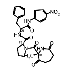 C[C@@]1(C(=O)N2CCC[C@H]2C(=O)N[C@@H](Cc2ccccc2)C(=O)Nc2ccc([N+](=O)[O-])cc2)NC(=O)CCCC1=O